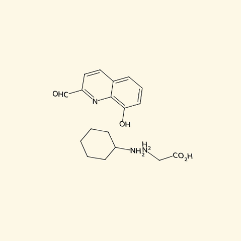 NC1CCCCC1.NCC(=O)O.O=Cc1ccc2cccc(O)c2n1